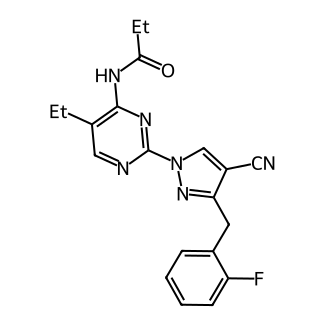 CCC(=O)Nc1nc(-n2cc(C#N)c(Cc3ccccc3F)n2)ncc1CC